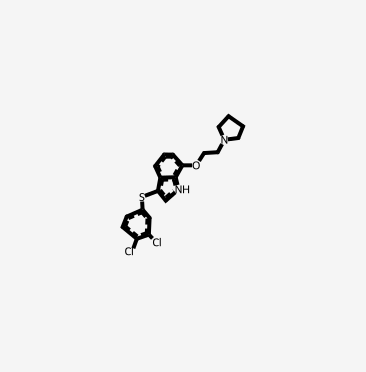 Clc1ccc(Sc2c[nH]c3c(OCCN4CCCC4)cccc23)cc1Cl